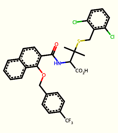 CC(C)(SCc1c(Cl)cccc1Cl)C(NC(=O)c1ccc2ccccc2c1OCc1ccc(C(F)(F)F)cc1)C(=O)O